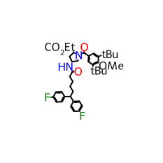 CCOC(=O)[C@@H]1C[C@H](NC(=O)CCCCC(c2ccc(F)cc2)c2ccc(F)cc2)CN1C(=O)c1cc(C(C)(C)C)c(OC)c(C(C)(C)C)c1